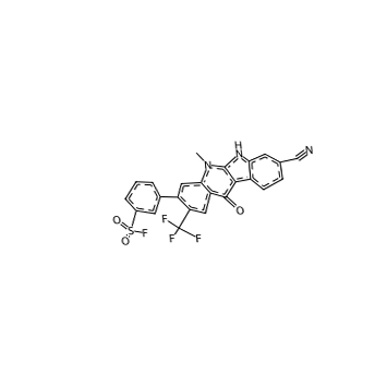 Cn1c2cc(-c3cccc(S(=O)(=O)F)c3)c(C(F)(F)F)cc2c(=O)c2c3ccc(C#N)cc3[nH]c21